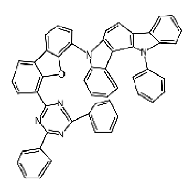 c1ccc(-c2nc(-c3ccccc3)nc(-c3cccc4c3oc3c(-n5c6ccccc6c6c5ccc5c7ccccc7n(-c7ccccc7)c56)cccc34)n2)cc1